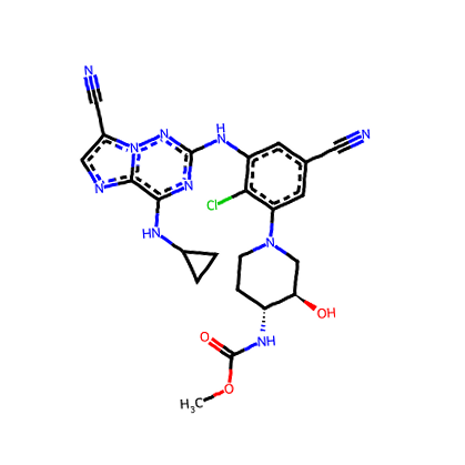 COC(=O)N[C@@H]1CCN(c2cc(C#N)cc(Nc3nc(NC4CC4)c4ncc(C#N)n4n3)c2Cl)C[C@H]1O